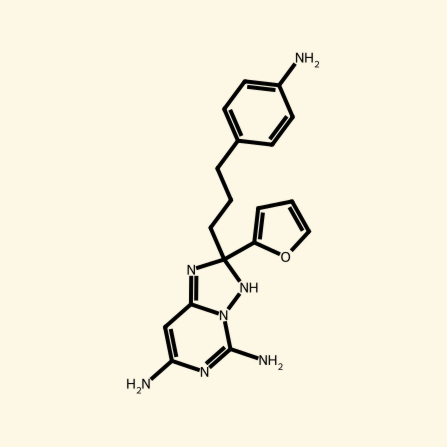 NC1=CC2=NC(CCCc3ccc(N)cc3)(c3ccco3)NN2C(N)=N1